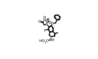 CC1=C[C@@H](NC(=O)O)Cc2c1cc(OCc1ccccc1)c(N1CC(=O)NS1(=O)=O)c2F